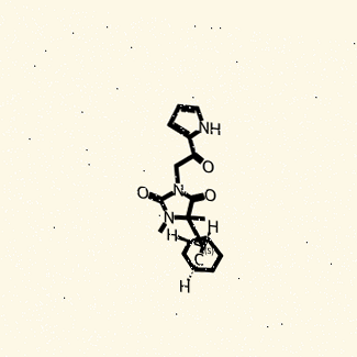 CN1C(=O)N(CC(=O)c2ccc[nH]2)C(=O)C1(C)[C@H]1C[C@H]2CC[C@@H]1CC2